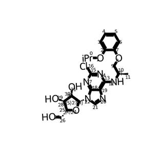 CC(C)Oc1ccccc1OC[C@@H](C)Nc1nc(Cl)nc2c1ncn2[C@@H]1O[C@H](CO)[C@@H](O)[C@H]1O